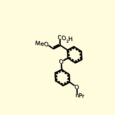 CCCOc1cccc(Oc2ccccc2C(=COC)C(=O)O)c1